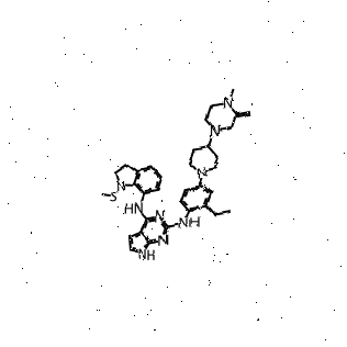 C=C1CN(C2CCN(c3ccc(Nc4nc(Nc5cccc6c5N(SC)CC6)c5cc[nH]c5n4)c(CC)c3)CC2)CCN1C